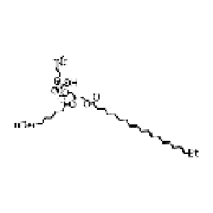 CC/C=C/C/C=C/C/C=C/C/C=C/CCCCCCC(=O)OC[C@H](COP(=O)(O)OCC[N+](C)(C)C)OC(=O)CCCCCCCCCCCCCCC